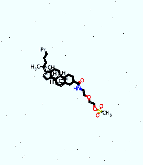 CC(C)CCC[C@H](C)[C@H]1CC[C@@H]2[C@H]3CC=C4CC(C(=O)NCCOCCOS(C)(=O)=O)CC[C@@]4(C)[C@@H]3CC[C@]21C